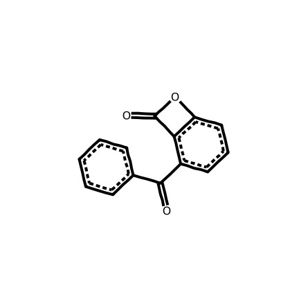 O=C(c1ccccc1)c1cccc2c1C(=O)O2